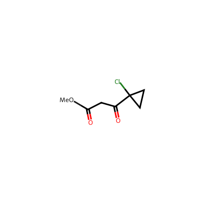 COC(=O)CC(=O)C1(Cl)CC1